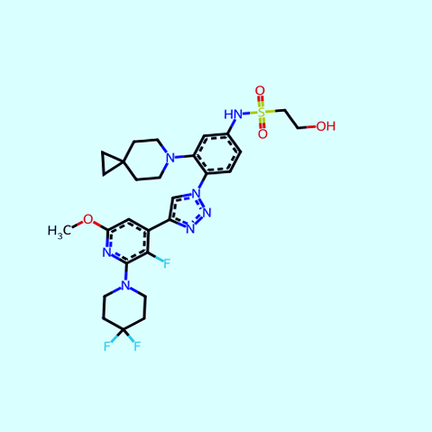 COc1cc(-c2cn(-c3ccc(NS(=O)(=O)CCO)cc3N3CCC4(CC3)CC4)nn2)c(F)c(N2CCC(F)(F)CC2)n1